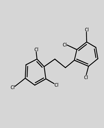 Clc1cc(Cl)c(CCc2c(Cl)ccc(Cl)c2Cl)c(Cl)c1